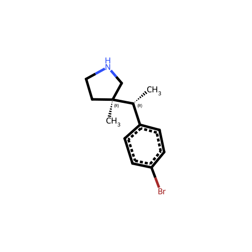 C[C@H](c1ccc(Br)cc1)[C@@]1(C)CCNC1